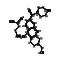 CCCC(=O)O.N#CCC1CCc2c(nc3cc(C(=O)N4CCNCC4)ccc3c2Cl)C1